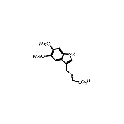 COc1cc2[nH]cc(CSCC(=O)O)c2cc1OC